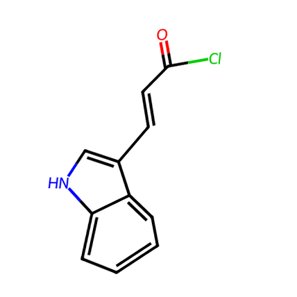 O=C(Cl)/C=C/c1c[nH]c2ccccc12